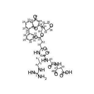 N=C(N)NCCC[C@H](NC(=O)CCC(=O)OC[N+]1(c2cc(=O)c3cccc(-c4ccccc4)c3o2)CCOCC1)C(=O)NCC(=O)N[C@H]([C]=O)CC(=O)O